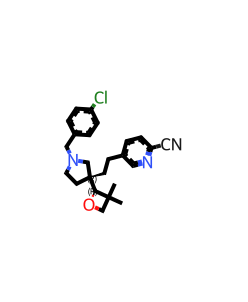 CC1(C)CO[C@@H]1[C@]1(CCc2ccc(C#N)nc2)CCN(Cc2ccc(Cl)cc2)C1